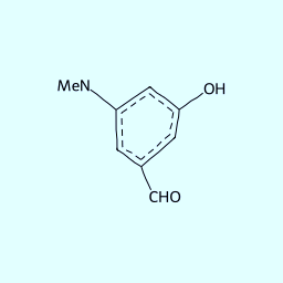 CNc1cc(O)cc(C=O)c1